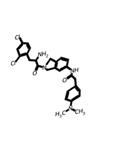 CN(C)c1ccc(CC(=O)Nc2ccc3c(c2)CN(C(=O)C(N)Cc2ccc(Cl)cc2Cl)C3)cc1